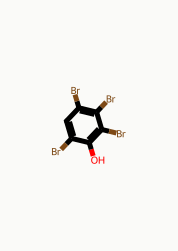 Oc1c(Br)cc(Br)c(Br)c1Br